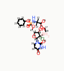 B[C@]1(Cl)[C@H](O)[C@@H](CO[P@](=O)(NC(C)(C)C(=O)OCC)Oc2ccccc2)O[C@H]1n1ccc(=O)[nH]c1=O